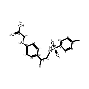 Cc1ccc(S(=O)(=O)NCC(C)c2ccc(OCC(=O)O)cc2)cc1